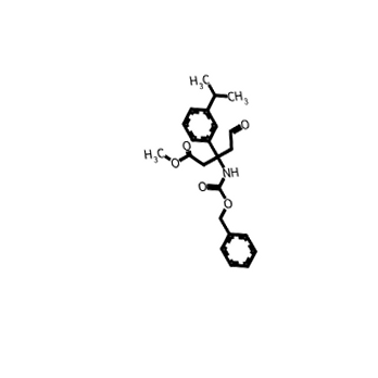 COC(=O)CC(CC=O)(NC(=O)OCc1ccccc1)c1cccc(C(C)C)c1